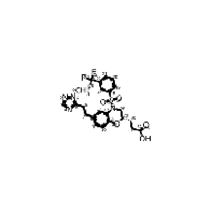 Cn1ncnc1CCc1ccc2c(c1)N(S(=O)(=O)c1cccc(C(F)(F)F)c1)C[C@H](CCC(=O)O)O2